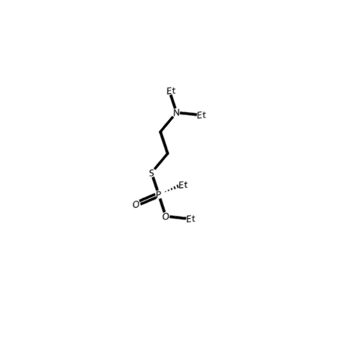 CCO[P@](=O)(CC)SCCN(CC)CC